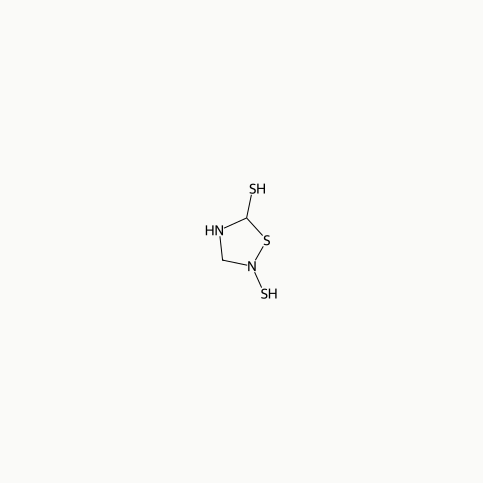 SC1NCN(S)S1